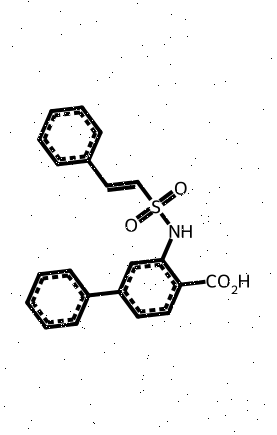 O=C(O)c1ccc(-c2ccccc2)cc1NS(=O)(=O)C=Cc1ccccc1